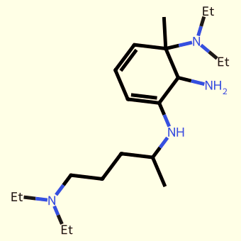 CCN(CC)CCCC(C)NC1=CC=CC(C)(N(CC)CC)C1N